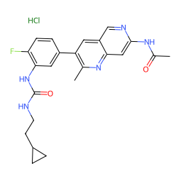 CC(=O)Nc1cc2nc(C)c(-c3ccc(F)c(NC(=O)NCCC4CC4)c3)cc2cn1.Cl